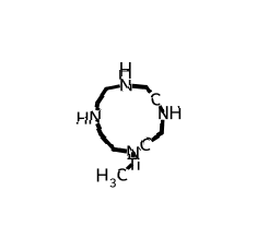 [CH3][Ti][N]1CCNCCNCCNCC1